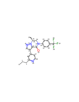 CCCc1cc(-c2cnn3c2C(=O)N(c2ccc(C(F)(F)F)cc2)C[C@@H]3C)ccn1